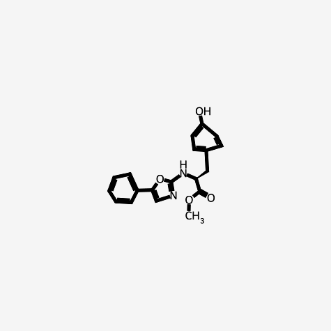 COC(=O)[C@H](Cc1ccc(O)cc1)Nc1ncc(-c2ccccc2)o1